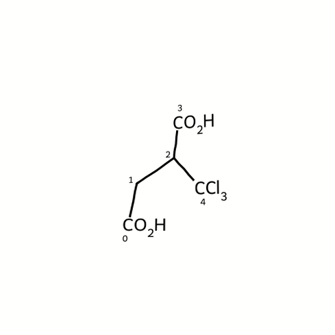 O=C(O)CC(C(=O)O)C(Cl)(Cl)Cl